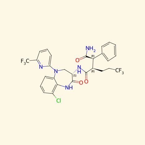 NC(=O)[C@@H](c1ccccc1)[C@@H](CCC(F)(F)F)C(=O)N[C@H]1CN(c2cccc(C(F)(F)F)n2)c2cccc(Cl)c2NC1=O